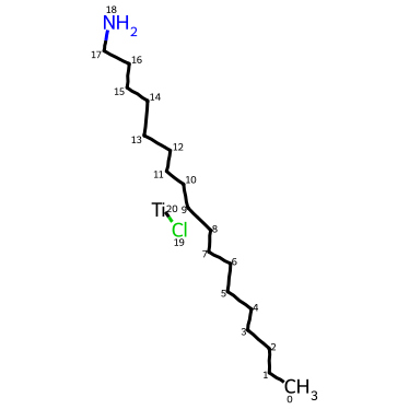 CCCCCCCCCCCCCCCCCCN.[Cl][Ti]